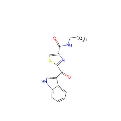 O=C(O)CNC(=O)c1csc(C(=O)c2c[nH]c3ccccc23)n1